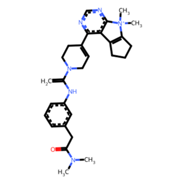 C=C(Nc1cccc(CC(=O)N(C)C)c1)N1CC=C(c2ncnc3c2C2=C(CCC2)[N+]3(C)C)CC1